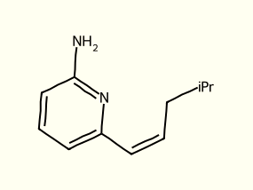 CC(C)C/C=C\c1cccc(N)n1